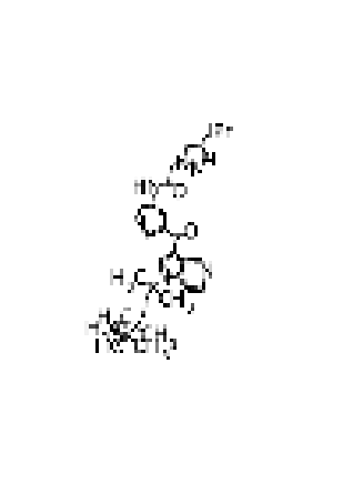 CC(C)c1cn(CC(=O)Nc2cncc(C(=O)c3cn(C(C)(C)CCC(C)(C)[Si](C)(C)O)c4ccncc34)c2)nn1